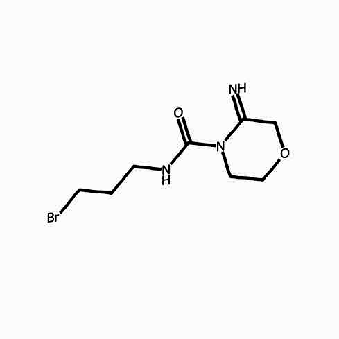 N=C1COCCN1C(=O)NCCCBr